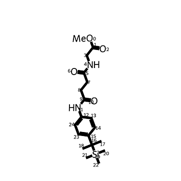 COC(=O)CNC(=O)CCC(=O)Nc1ccc(C(C)(C)[Si](C)(C)C)cc1